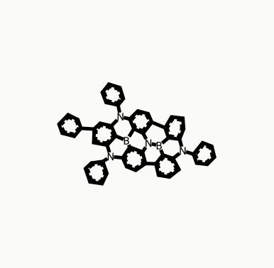 c1ccc(-c2cc3c4c(c2)N(c2ccccc2)c2ccc5c6c2B4c2c(ccc4c2N6B2c6c-4cccc6N(c4ccccc4)c4cccc-5c42)N3c2ccccc2)cc1